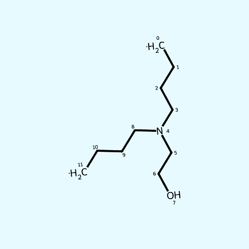 [CH2]CCCN(CCO)CCC[CH2]